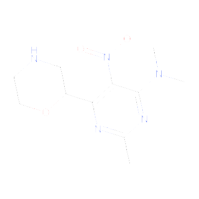 Cc1nc(C2CNCCO2)c([N+](=O)[O-])c(N(C)C)n1